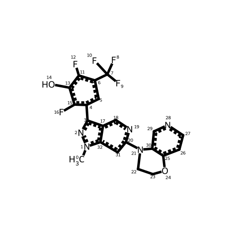 Cn1nc(-c2cc(C(F)(F)F)c(F)c(O)c2F)c2cnc(N3CCOc4ccncc43)cc21